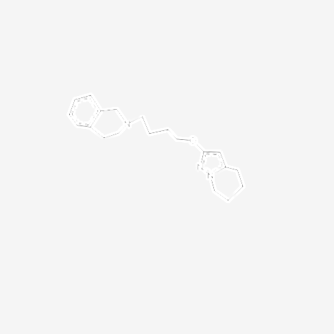 c1ccc2c(c1)CCN(CCCCOc1cc3n(n1)CCCC3)C2